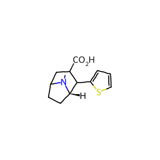 CN1C2CC[C@H]1C(c1cccs1)C(C(=O)O)C2